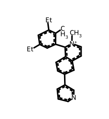 CCc1cc(CC)c(C)c(-c2c3ccc(-c4cccnc4)cc3cc[n+]2C)c1